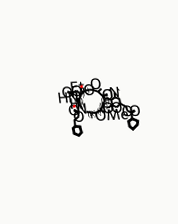 CC[C@H]1OC(=O)C(C)C(=O)[C@H](C)[C@@H](OC2OC(COC(=O)c3ccccc3)CC(N(C)C)C2C)[C@](C)(OC)C[C@@H](C)CN(C(=O)OCc2ccccc2)[C@H](C)[C@H]2NC(=O)O[C@@]21C